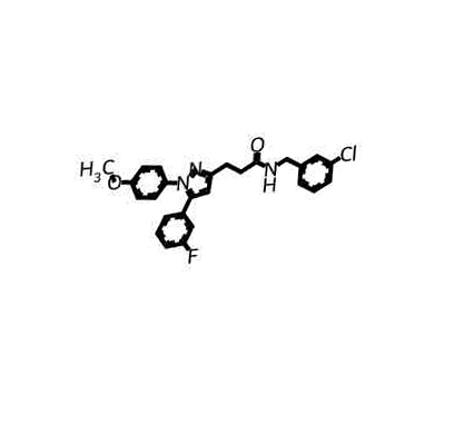 COc1ccc(-n2nc(CCC(=O)NCc3cccc(Cl)c3)cc2-c2cccc(F)c2)cc1